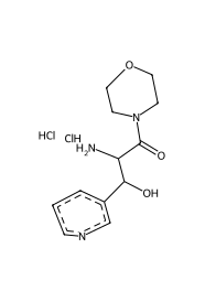 Cl.Cl.NC(C(=O)N1CCOCC1)C(O)c1cccnc1